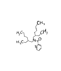 CCCCC(CC)CN(CC(CC)CCCC)C(=O)c1ccccn1